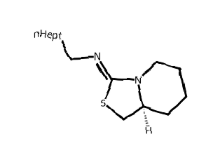 CCCCCCCC/N=C1\SC[C@@H]2CCCCN12